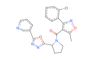 Cc1onc(-c2ccccc2Cl)c1C(=O)N1CCCC1c1nnc(-c2cccnc2)o1